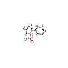 Cc1ccc(-c2ccccc2)c(OC(=O)Cl)c1